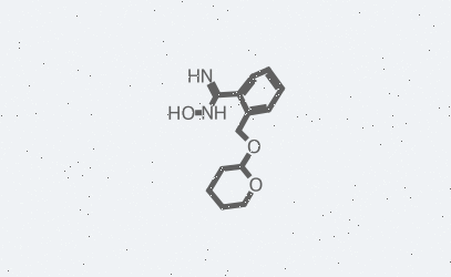 N=C(NO)c1ccccc1COC1CCCCO1